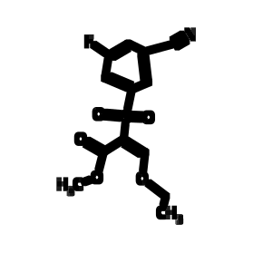 CCOC=C(C(=O)OC)S(=O)(=O)c1cc(F)cc(C#N)c1